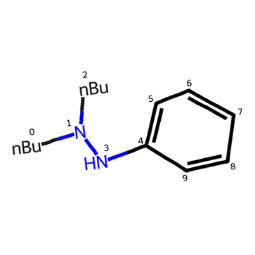 CCCCN(CCCC)Nc1ccccc1